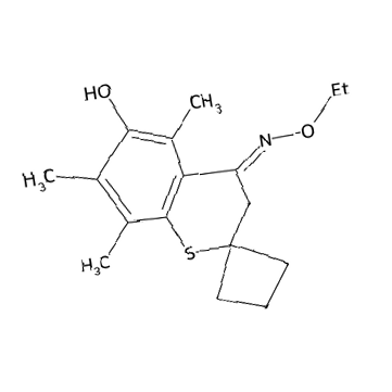 CCON=C1CC2(CCC2)Sc2c(C)c(C)c(O)c(C)c21